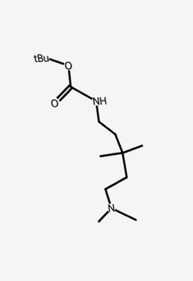 CN(C)CCC(C)(C)CCNC(=O)OC(C)(C)C